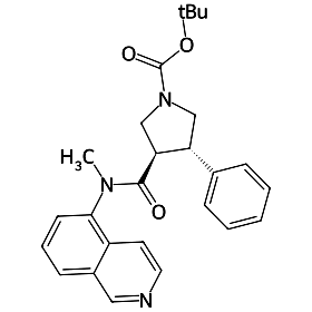 CN(C(=O)[C@H]1CN(C(=O)OC(C)(C)C)C[C@@H]1c1ccccc1)c1cccc2cnccc12